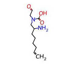 C=CCCCCC(N)CN(CC=O)C(=O)O